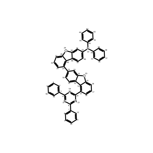 c1ccc(-c2nc(-c3ccccc3)nc(-c3cccc4oc5cc(-c6cccc7oc8cc(N(c9ccccc9)c9ccccc9)ccc8c67)ccc5c34)n2)cc1